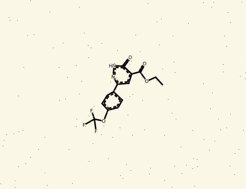 CCOC(=O)c1cc(-c2ccc(OC(F)(F)F)cc2)n[nH]c1=O